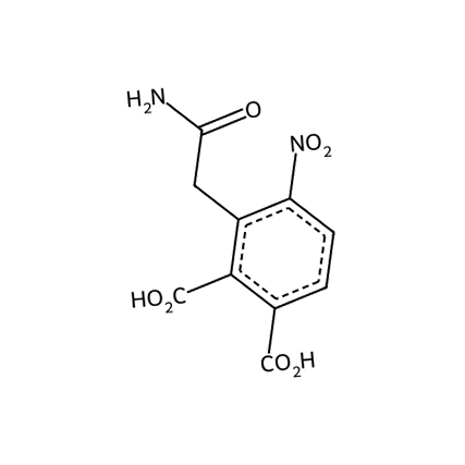 NC(=O)Cc1c([N+](=O)[O-])ccc(C(=O)O)c1C(=O)O